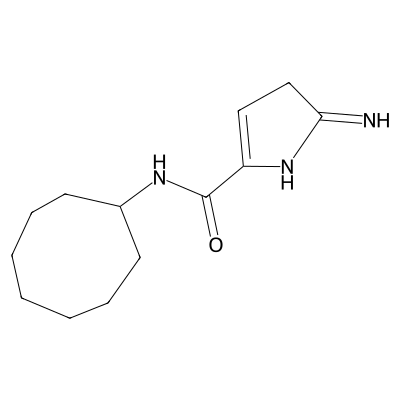 N=C1CC=C(C(=O)NC2CCCCCCC2)N1